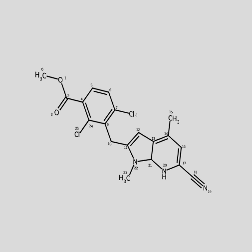 COC(=O)c1ccc(Cl)c(CC2=CC3=C(C)C=C(C#N)NC3N2C)c1Cl